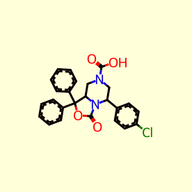 O=C(O)N1CC(c2ccc(Cl)cc2)N2C(=O)OC(c3ccccc3)(c3ccccc3)C2C1